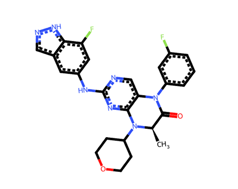 C[C@@H]1C(=O)N(c2cccc(F)c2)c2cnc(Nc3cc(F)c4[nH]ncc4c3)nc2N1C1CCOCC1